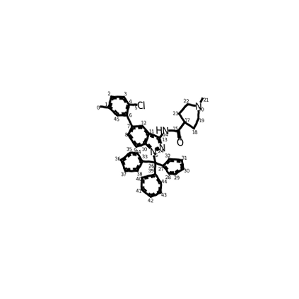 Cc1ccc(Cl)c(-c2ccc3c(c2)c(NC(=O)C2CCN(C)CC2)nn3C(c2ccccc2)(c2ccccc2)c2ccccc2)c1